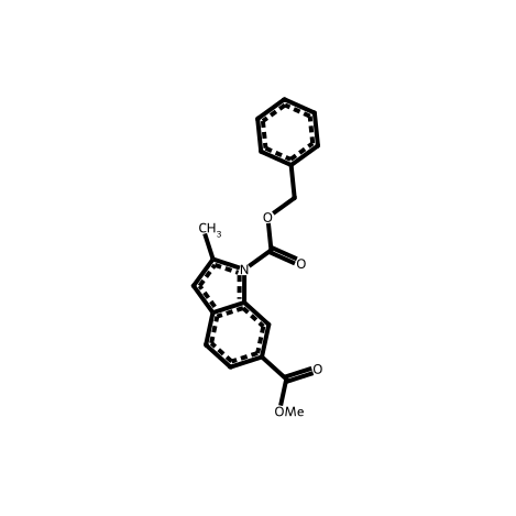 COC(=O)c1ccc2cc(C)n(C(=O)OCc3ccccc3)c2c1